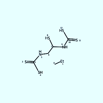 CCC.S=C(S)NCC(S)NC(=S)S